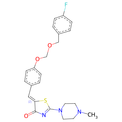 CN1CCN(C2=NC(=O)/C(=C/c3ccc(OCOCc4ccc(F)cc4)cc3)S2)CC1